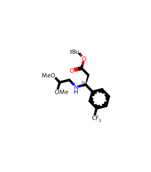 COC(CN[C@@H](CC(=O)OC(C)(C)C)c1cccc(C(F)(F)F)c1)OC